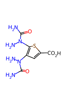 NC(=O)N(N)c1cc(C(=O)O)sc1N(N)C(N)=O